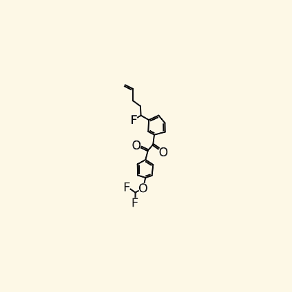 C=CCCC(F)c1cccc(C(=O)C(=O)c2ccc(OC(F)F)cc2)c1